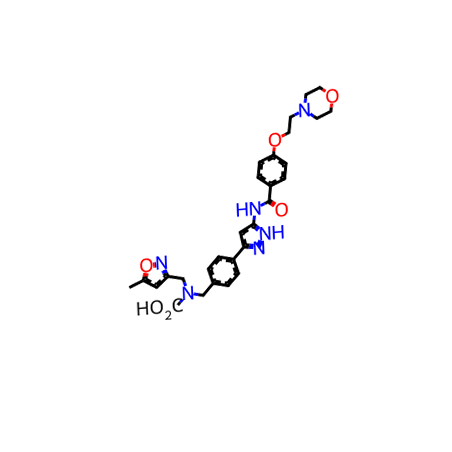 Cc1cc(CN(Cc2ccc(-c3cc(NC(=O)c4ccc(OCCN5CCOCC5)cc4)[nH]n3)cc2)C(=O)O)no1